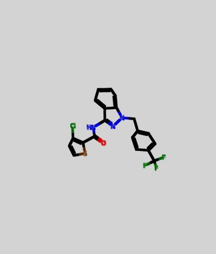 O=C(Nc1nn(Cc2ccc(C(F)(F)F)cc2)c2ccccc12)c1sccc1Cl